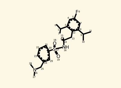 CC(C)c1cc(F)cc(C(C)C)c1CC(=O)NS(=O)(=O)c1cccc(CN(C)C)c1